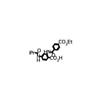 CCOC(=O)c1ccc(C(=O)Nc2cc(NC(=O)C(C)C)ccc2C(=O)O)cc1